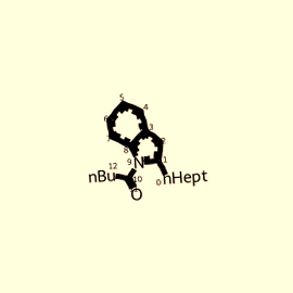 CCCCCCCc1cc2ccccc2n1C(=O)CCCC